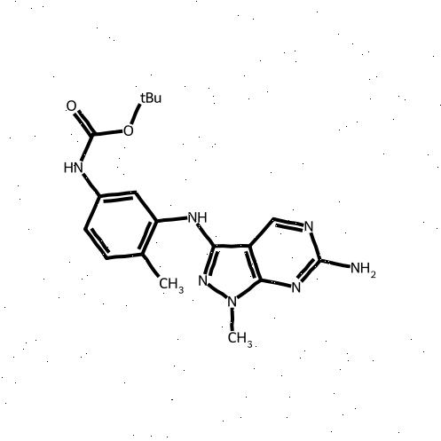 Cc1ccc(NC(=O)OC(C)(C)C)cc1Nc1nn(C)c2nc(N)ncc12